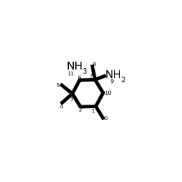 CC1CC(C)(C)CC(C)(N)C1.N